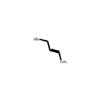 CCCCCC=[C]OC(C)=O